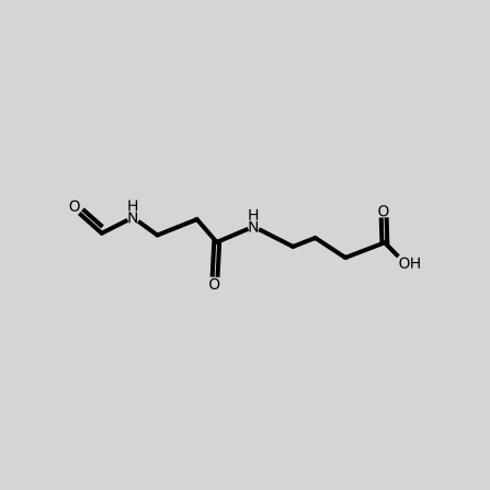 O=CNCCC(=O)NCCCC(=O)O